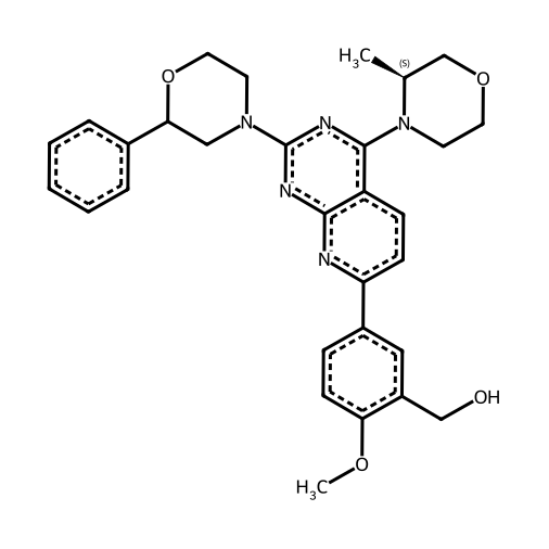 COc1ccc(-c2ccc3c(N4CCOC[C@@H]4C)nc(N4CCOC(c5ccccc5)C4)nc3n2)cc1CO